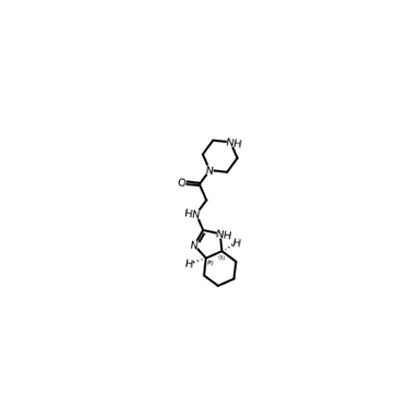 O=C(CNC1=N[C@@H]2CCCC[C@@H]2N1)N1CCNCC1